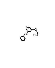 OCC1CC1c1cncc(OCc2ccccc2)c1